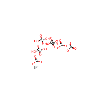 [Bi+3].[O]=[Mo](=[O])([OH])[OH].[O]=[Mo](=[O])([OH])[OH].[O]=[Mo](=[O])([OH])[OH].[O]=[V](=[O])[O-].[O]=[V](=[O])[O-].[O]=[V](=[O])[O-]